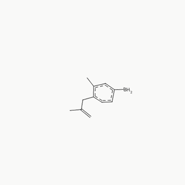 Bc1ccc(CC(=C)C)c(C)c1